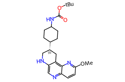 COc1ccc2ncc3c(c2n1)C[C@@H](C1CCC(NC(=O)OC(C)(C)C)CC1)CN3